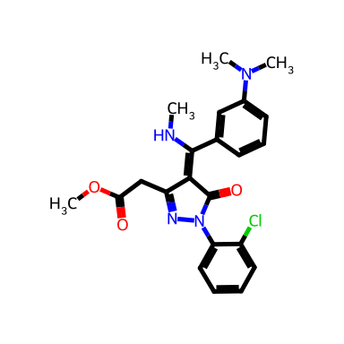 CNC(=C1C(=O)N(c2ccccc2Cl)N=C1CC(=O)OC)c1cccc(N(C)C)c1